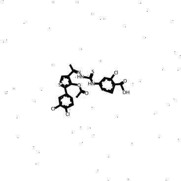 CC(=O)Oc1c(C(C)=NNC(=S)Nc2ccc(C(=O)O)c(Cl)c2)csc1-c1ccc(Cl)c(Cl)c1